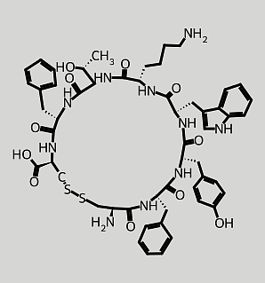 C[C@@H](O)[C@@H]1NC(=O)[C@H](CCCCN)NC(=O)[C@H](Cc2c[nH]c3ccccc23)NC(=O)[C@H](Cc2ccc(O)cc2)NC(=O)[C@H](Cc2ccccc2)NC(=O)[C@@H](N)CSSC[C@@H](C(=O)O)NC(=O)[C@H](Cc2ccccc2)NC1=O